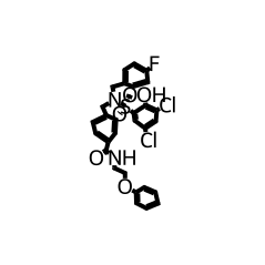 O=C(NCCOc1ccccc1)c1ccc(CN(Cc2ccc(F)cc2)S(=O)(=O)c2cc(Cl)cc(Cl)c2O)cc1